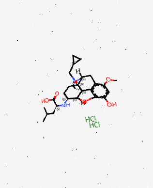 COc1cc(O)c2c3c1C[C@@H]1[C@@H]4CC[C@H](N[C@@H](CC(C)C)C(=O)O)[C@H](O2)[C@]34CCN1CC1CC1.Cl.Cl